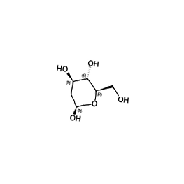 OC[C@H]1O[C@@H](O)C[C@@H](O)[C@@H]1O